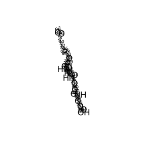 CC(C)(C)OC(=O)CCCCCCCc1ccc(CCOc2ccc(S(=O)(=O)Nc3ncc(C(=O)NCCOCCOCC(=O)NCCOCCOCC(=O)O)cn3)cc2)cc1